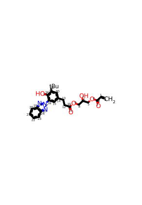 C=CC(=O)OCC(O)COC(=O)CCc1cc(-n2nc3ccccc3n2)c(O)c(C(C)(C)C)c1